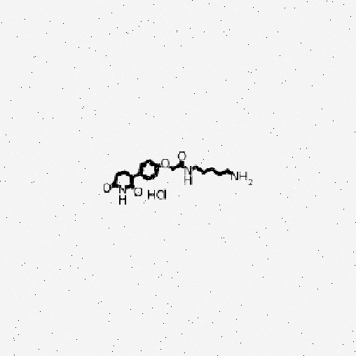 Cl.NCCCCCNC(=O)COc1ccc(C2CCC(=O)NC2=O)cc1